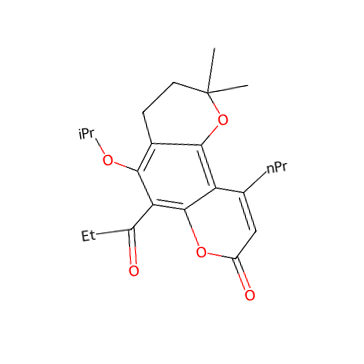 CCCc1cc(=O)oc2c(C(=O)CC)c(OC(C)C)c3c(c12)OC(C)(C)CC3